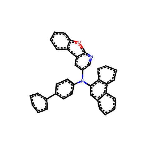 c1ccc(-c2ccc(N(c3cnc4oc5ccccc5c4c3)c3cc4ccccc4c4ccccc34)cc2)cc1